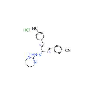 Cl.N#Cc1ccc(/C=C/C(/C=C/c2ccc(C#N)cc2)=NNC2=NCCCCN2)cc1